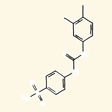 Cc1ccc(NC(=S)Nc2ccc(S(N)(=O)=O)cc2)cc1C